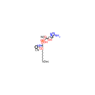 CCCCCCCCCCCCCCCCCCOC[C@H](COP(=O)(O)OC[C@@H](OC#N)[C@@H](O)Cc1ccc2c(N)ncnn12)NC(=O)c1ccccc1C#N